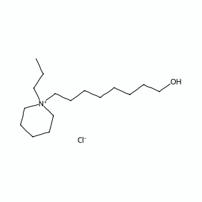 CCC[N+]1(CCCCCCCCO)CCCCC1.[Cl-]